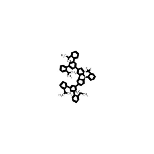 CC(C)c1ccccc1-c1cc(-c2ccc3c(c2)c2cc(-c4cc(-c5ccccc5C(C)C)cc(-c5ccccc5C(C)C)c4)ccc2n3-c2ccccc2C(F)(F)F)cc(-c2ccccc2C(C)C)c1